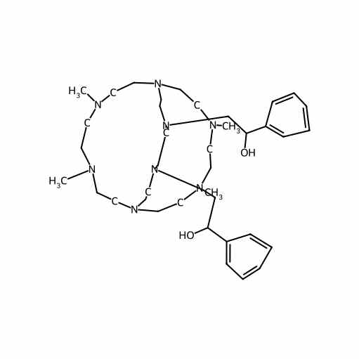 CN1CCN(C)CCN2CCN(C)CCN(CC(O)c3ccccc3)CCN(CC1)CCN(C)CCN(CC(O)c1ccccc1)CC2